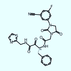 N#Cc1cc(F)cc(N2CC(=O)N(CC(=O)N[C@H](Cc3ccccc3)C(=O)C(=O)NCc3nccs3)C2=O)c1